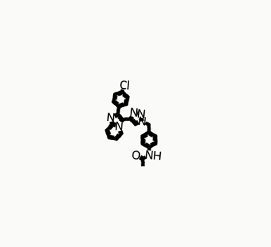 CC(=O)Nc1ccc(Cn2cc(-c3c(-c4ccc(Cl)cc4)nc4ccccn34)nn2)cc1